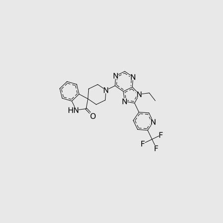 CCn1c(-c2ccc(C(F)(F)F)nc2)nc2c(N3CCC4(CC3)C(=O)Nc3ccccc34)ncnc21